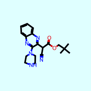 CC(C)(C)COC(=O)C(C#N)c1nc2ccccc2nc1N1CCNCC1